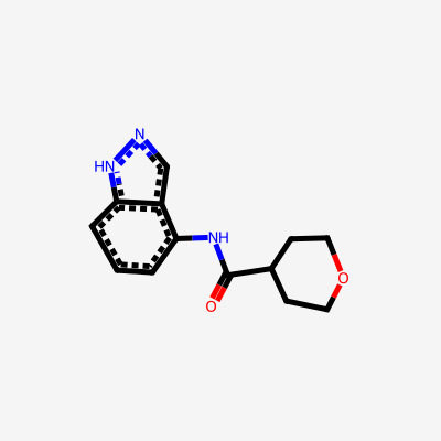 O=C(Nc1cccc2[nH]ncc12)C1CCOCC1